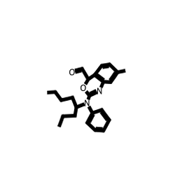 CCCCC(CCC)N(C1=Nc2cc(C)ccc2C(C=O)O1)c1ccccc1